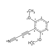 COc1cccc(OC)c1C#CC#N